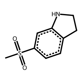 CS(=O)(=O)c1ccc2c(c1)NCC2